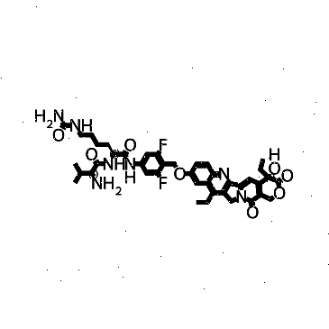 CCc1c2c(nc3ccc(OCc4c(F)cc(NC(=O)[C@H](CCCCNC(N)=O)NC(=O)[C@@H](N)C(C)C)cc4F)cc13)-c1cc3c(c(=O)n1C2)COC(=O)[C@]3(O)CC